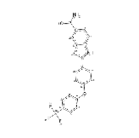 NC(=O)c1ccc2[nH]c(-c3ccc(Oc4ccc(C(F)(F)F)cc4)cc3)nc2c1